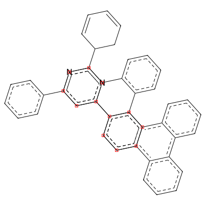 C1=CCC(c2nc(-c3ccccc3)cc(-c3ccccc3-c3ccccc3-c3ccccc3-c3ccc4c5ccccc5c5ccccc5c4c3)n2)C=C1